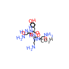 NCCCC[C@H](NC(=O)[C@H](Cc1ccc(O)cc1)NC(=O)[C@@H](N)CC(N)=O)C(=O)N[C@@H](CC(N)=O)C(=O)O